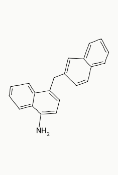 Nc1ccc(Cc2ccc3ccccc3c2)c2ccccc12